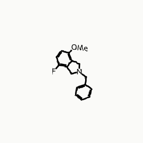 COc1ccc(F)c2c1CN(Cc1ccccc1)C2